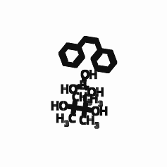 C(=C/c1ccccc1)/c1ccccc1.CC(C)(O)C(C)(C)O.OB(O)O